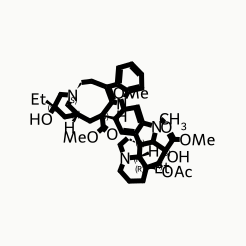 CC[C@]1(O)C[C@@H]2C[N@@](CCc3c([nH]c4ccccc34)[C@@](C(=O)OC)(C3C=C4C(=CC3OC)N(C)C3[C@]45CCN4CCC[C@@](CC)([C@@H](OC(C)=O)[C@]3(O)C(=O)OC)[C@H]45)C2)C1